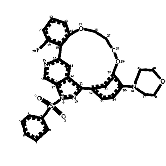 O=S(=O)(c1ccccc1)n1nc2c3cc(ncc31)-c1c(F)cccc1OCCCOc1cc-2ccc1N1CCOCC1